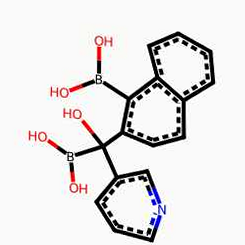 OB(O)c1c(C(O)(B(O)O)c2cccnc2)ccc2ccccc12